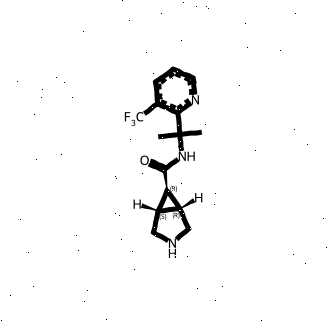 CC(C)(NC(=O)[C@H]1[C@@H]2CNC[C@@H]21)c1ncccc1C(F)(F)F